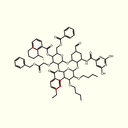 CCCCOC1C(C)OC(OC2C(NC(=O)c3cc(O)nc(O)n3)CC(C=O)CC2OC2OC(COC(=O)c3ccccc3)C(OC(=O)c3ccccc3)C(O[C@@H](CC3CCCCC3)C(=O)OCc3ccccc3)C2OC(=O)c2ccccc2)C(OCCCC)C1OCCCC